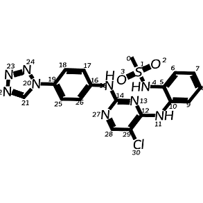 CS(=O)(=O)Nc1ccccc1Nc1nc(Nc2ccc(-n3cnnn3)cc2)ncc1Cl